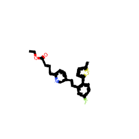 CCOC(=O)CCCc1ccc(CCc2cc(F)ccc2-c2ccc(C)s2)cn1